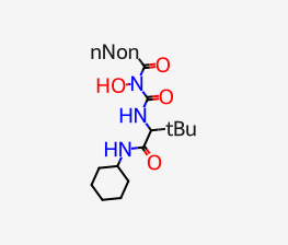 CCCCCCCCCC(=O)N(O)C(=O)NC(C(=O)NC1CCCCC1)C(C)(C)C